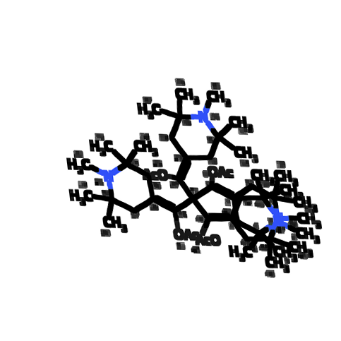 CC(=O)OC(=C1CC(C)(C)N(C)C(C)(C)C1)C(C(OC(C)=O)=C1CC(C)(C)N(C)C(C)(C)C1)(C(OC(C)=O)=C1CC(C)(C)N(C)C(C)(C)C1)C(OC(C)=O)=C1CC(C)(C)N(C)C(C)(C)C1